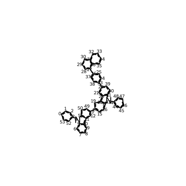 c1ccc(-n2c3ccccc3c3cc(-c4ccc5c(c4)c4cc(-c6ccc(-c7cccc8ccccc78)cc6)ccc4n5-c4ccccc4)ccc32)cc1